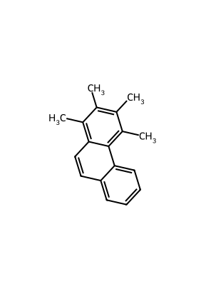 Cc1c(C)c(C)c2c(ccc3ccccc32)c1C